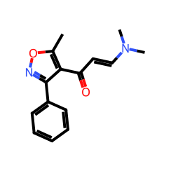 Cc1onc(-c2ccccc2)c1C(=O)C=CN(C)C